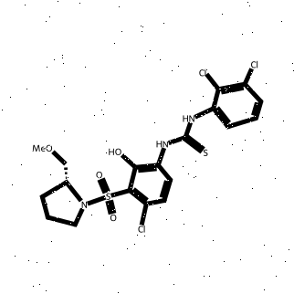 COC[C@H]1CCCN1S(=O)(=O)c1c(Cl)ccc(NC(=S)Nc2cccc(Cl)c2Cl)c1O